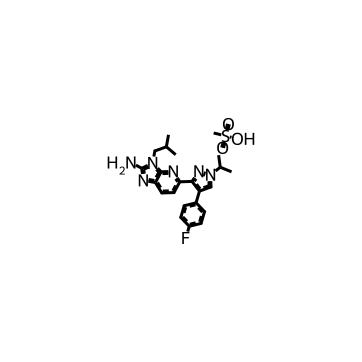 CC(C)Cn1c(N)nc2ccc(-c3nn(C(C)C)cc3-c3ccc(F)cc3)nc21.CS(=O)(=O)O